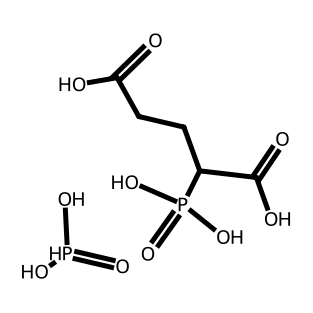 O=C(O)CCC(C(=O)O)P(=O)(O)O.O=[PH](O)O